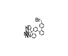 BrCc1ccc(-c2ccccc2-c2cccc(C(c3ccccc3)(c3ccccc3)c3nnn[nH]3)c2)cc1